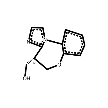 OC[C@H]1COc2ccccc2-n2ccnc21